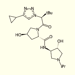 CC(C)N1C[C@@H](O)[C@H](NC(=O)[C@@H]2C[C@@H](O)CN2C(=O)[C@@H](n2cc(C3CC3)nn2)C(C)(C)C)C1